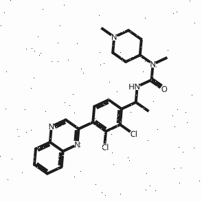 CC(NC(=O)N(C)C1CCN(C)CC1)c1ccc(-c2cnc3ccccc3n2)c(Cl)c1Cl